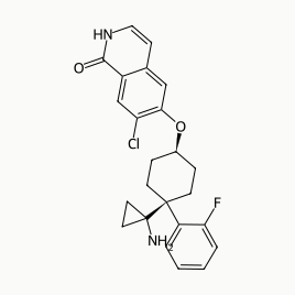 NC1([C@]2(c3ccccc3F)CC[C@H](Oc3cc4cc[nH]c(=O)c4cc3Cl)CC2)CC1